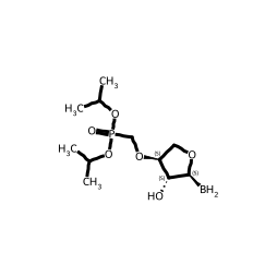 B[C@@H]1OC[C@H](OCP(=O)(OC(C)C)OC(C)C)[C@H]1O